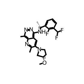 CO[C@H]1CCN(c2cc3c(N[C@H](C)c4cccc(C(F)F)c4F)nnc(C)c3nc2C)C1